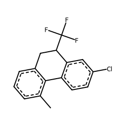 Cc1cccc2c1-c1ccc(Cl)cc1C(C(F)(F)F)C2